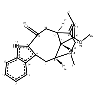 C/C=C1/CN(C)[C@@H]2Cc3c([nH]c4ccccc34)C(=O)C[C@@H]1[C@@H]2C(=O)OC